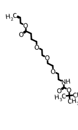 C=CCOC(=O)CCCOCCOCCOCCNC(=O)OC(C)(C)C